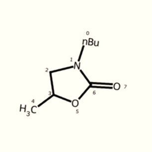 CCCCN1CC(C)OC1=O